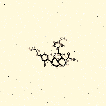 COCc1ccc(-c2ccc3ncc(C(N)=O)c(NC(C)C4C=CN(C)N4)c3c2)c(F)n1